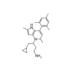 Cc1cc(C)c(C2=CC(C)N(C(CCN)CC3CC3)c3cc(C)[nH]c32)c(C)c1